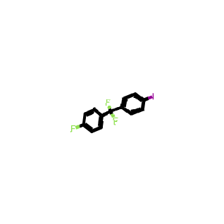 Fc1ccc(C(F)(F)c2ccc(I)cc2)cc1